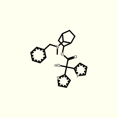 CN(Cc1ccccc1)C1C2CCC1C(OC(=O)C(O)(c1cccs1)c1cccs1)C2